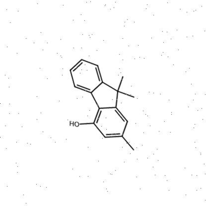 Cc1cc(O)c2c(c1)C(C)(C)c1ccccc1-2